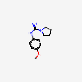 COc1ccc(NC(=N)N2CCCC2)cc1